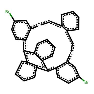 Brc1ccc2c(ccc3ccccc3ccc3cc(Br)ccc3c3c4ccccc4c2c2ccccc23)c1